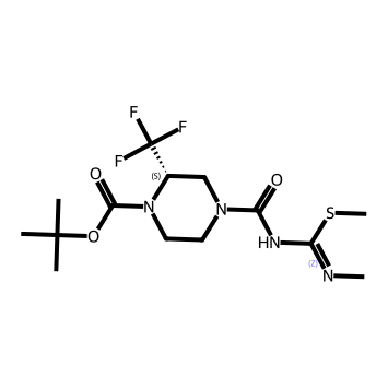 C/N=C(/NC(=O)N1CCN(C(=O)OC(C)(C)C)[C@H](C(F)(F)F)C1)SC